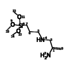 C=C(N)CNCCC[Si](OC)(OC)OC